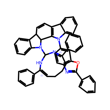 C1=CC2c3ccccc3N(C3/N=C(/c4ccccc4)CCC/C=C(/c4ccccc4)N3)C2c2c1c1ccccc1n2-c1ccc2nc(-c3ccccc3)oc2c1